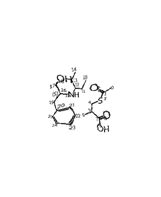 CC(=O)SCC(C)C(=O)O.CCC(CC)N[C@H](CO)Cc1ccccc1